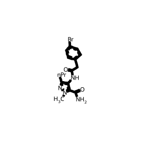 CCCc1nn(C)c(C(N)=O)c1NC(=O)Cc1ccc(Br)cc1